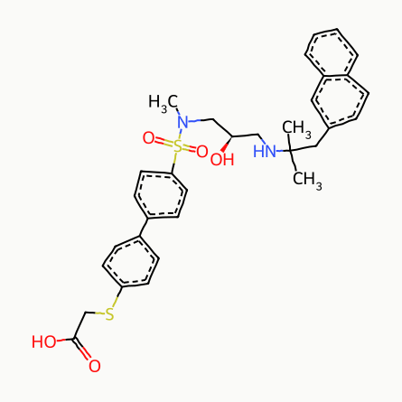 CN(C[C@H](O)CNC(C)(C)Cc1ccc2ccccc2c1)S(=O)(=O)c1ccc(-c2ccc(SCC(=O)O)cc2)cc1